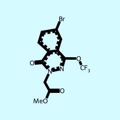 COC(=O)Cn1nc(OC(F)(F)F)c2cc(Br)ccc2c1=O